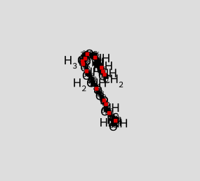 C=CC(=O)Nc1cccc(Nc2nc(Nc3ccc(Oc4cccc(C(=O)N(C)CCOCCNC(=O)CCCC(=C)NCCCOCCOCCOCCCNC(=O)CCCC[C@@H]5SC[C@@H]6NC(=O)N[C@@H]65)c4)cc3)ncc2F)c1